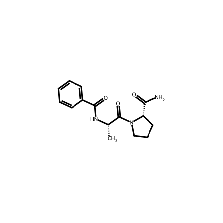 C[C@H](NC(=O)c1ccccc1)C(=O)N1CCC[C@H]1C(N)=O